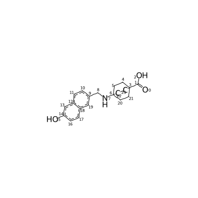 O=C(O)C12CCC(NCc3ccc4cc(O)ccc4c3)(CC1)CC2